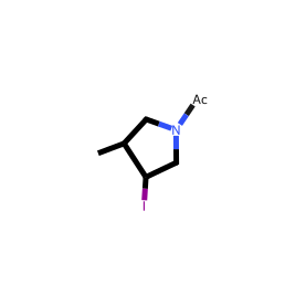 CC(=O)N1CC(C)C(I)C1